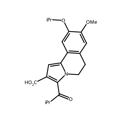 COc1cc2c(cc1OC(C)C)-c1cc(C(=O)O)c(C(=O)C(C)C)n1CC2